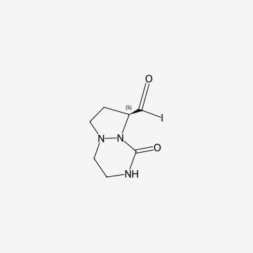 O=C(I)[C@@H]1CCN2CCNC(=O)N12